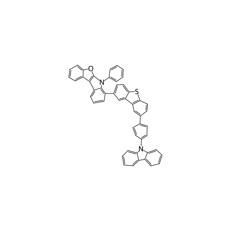 c1ccc(-n2c3oc4ccccc4c3c3cccc(-c4ccc5sc6ccc(-c7ccc(-n8c9ccccc9c9ccccc98)cc7)cc6c5c4)c32)cc1